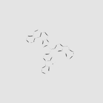 CC1(C)c2ccccc2-c2ccc(N(c3ccc4c(ccc5ccc6ccccc6c54)c3)c3ccc4oc5ccccc5c4c3)cc21